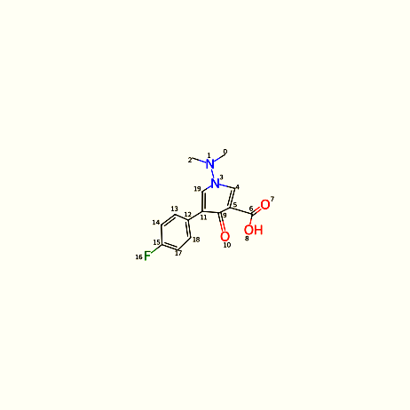 CN(C)n1cc(C(=O)O)c(=O)c(-c2ccc(F)cc2)c1